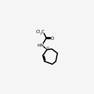 O=C(N[C@@H]1C=CCCCC1)C(Cl)(Cl)Cl